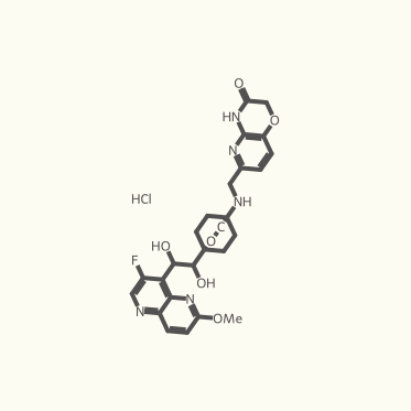 COc1ccc2ncc(F)c(C(O)C(O)C34CCC(NCc5ccc6c(n5)NC(=O)CO6)(CC3)CO4)c2n1.Cl